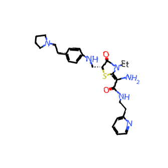 CCN1C(=O)[C@@H](CNc2ccc(CCN3CCCC3)cc2)S/C1=C(/N)C(=O)NCCc1ccccn1